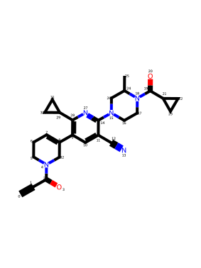 C#CC(=O)N1CCC=C(c2cc(C#N)c(N3CCN(C(=O)C4CC4)C(C)C3)nc2C2CC2)C1